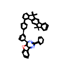 CC1(C)c2ccccc2-c2cc3c(cc21)-c1c(-c2ccc(-c4cccc(-c5nc(-c6ccccc6)nc6c5oc5ccccc56)c4)cc2)cccc1C3(C)C